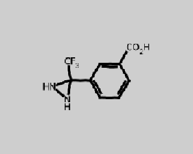 O=C(O)c1cccc(C2(C(F)(F)F)NN2)c1